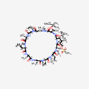 CC(C)C[C@@H]1C(=O)N(C)[C@H](CC(C)C)C(=O)N(C)[C@H](C(C)C)C(=O)N(C)[C@H]([C@H](O[Si](C)(C)C(C)(C)C)[C@H](C)CCOS(C)(=O)=O)C(=O)N[C@H](C(C)O[Si](C)(C)C(C)(C)C)C(=O)N(C)CC(=O)N(C)[C@@H](CC(C)C)C(=O)N[C@H](C(C)C)C(=O)N(C)[C@H](CC(C)C)C(=O)N[C@H](C)C(=O)N[C@@H](C)C(=O)N1C